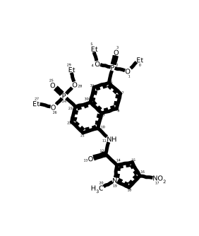 CCOP(=O)(OCC)c1ccc2c(NC(=O)c3cc([N+](=O)[O-])cn3C)ccc(P(=O)(OCC)OCC)c2c1